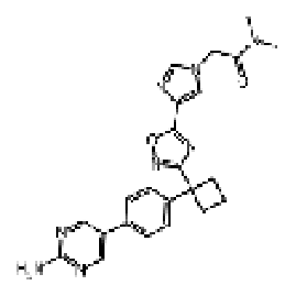 CN(C)C(=O)Cn1cnc(-c2nc(C3(c4ccc(-c5cnc(N)nc5)cc4)CCC3)no2)c1